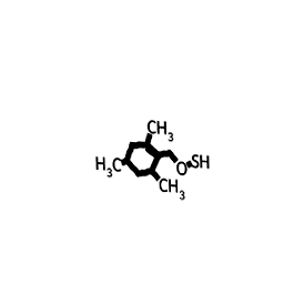 CC1=C(COS)C(C)CC(C)C1